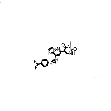 O=c1[nH]cc(-c2cc([C@H]3C[C@@H]3c3ccc(C(F)F)cc3)c3nccn3n2)c(=O)[nH]1